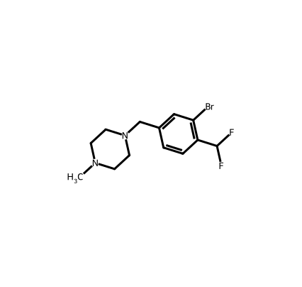 CN1CCN(Cc2ccc(C(F)F)c(Br)c2)CC1